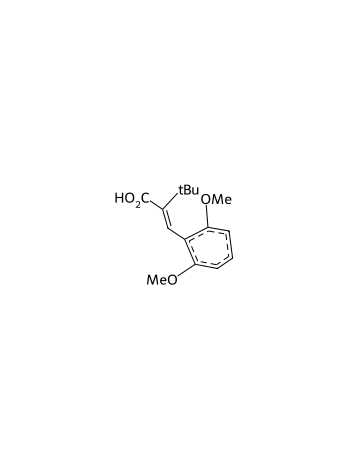 COc1cccc(OC)c1C=C(C(=O)O)C(C)(C)C